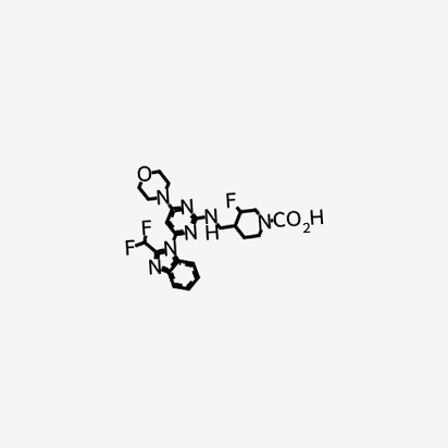 O=C(O)N1CCC(CNc2nc(N3CCOCC3)cc(-n3c(C(F)F)nc4ccccc43)n2)C(F)C1